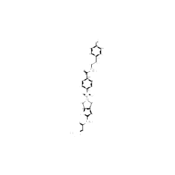 C=CC(=O)Nc1cc2c(s1)CN(S(=O)(=O)c1ccc(C(=O)NCCc3ccc(Cl)cc3)cc1)C2